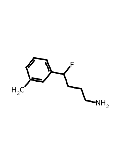 Cc1cccc(C(F)CCCN)c1